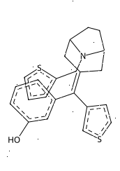 Oc1cccc(C(=C2CC3CCC(C2)N3Cc2cccs2)c2ccsc2)c1